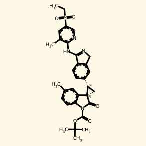 CCS(=O)(=O)c1cnc(NC2=NCc3cc([C@@H]4C[C@@]45C(=O)N(C(=O)OC(C)(C)C)c4ccc(C)cc45)ccc32)c(C)c1